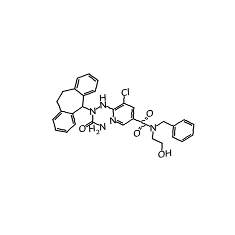 NC(=O)N(Nc1ncc(S(=O)(=O)N(CCO)Cc2ccccc2)cc1Cl)C1c2ccccc2CCc2ccccc21